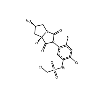 O=C1[C@@H]2C[C@@H](O)CN2C(=O)N1c1cc(NS(=O)(=O)CCl)c(Cl)cc1F